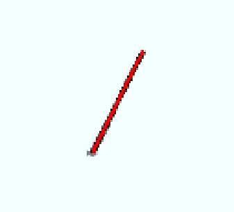 COCCOCCOCCOCCOCCOCCOCCOCCOCCOCCOCCOCCOCCOCCOCCOCCOCCOCCOCCOCCOCCOCCOCCOCCOCCOCCOCCOCCOCCOCCOCCOCCOCCOCCOCCOCCOCCOCCOCCOCCOCCOCCOCCOCCOCCOCCOC(=O)CCC(=O)O